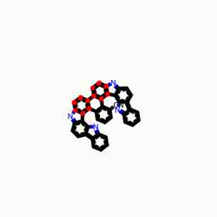 N#Cc1cccc(-c2c(-c3ccccc3)ccc3c2-c2c4c(ccc2=N3)=c2ccccc2=N4)c1-c1c(-c2ccccc2)ccc2c1-c1c3c(ccc1=N2)=c1ccccc1=N3